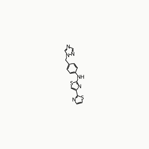 c1csc(-c2csc(Nc3ccc(Cn4cncn4)cc3)n2)n1